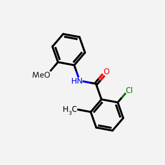 COc1ccccc1NC(=O)c1c(C)cccc1Cl